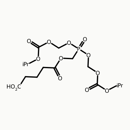 CC(C)OC(=O)OCOP(=O)(COC(=O)CCCC(=O)O)OCOC(=O)OC(C)C